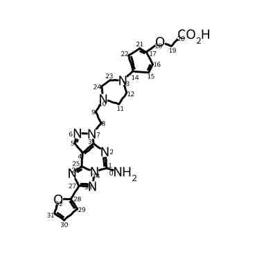 Nc1nc2c(cnn2CCN2CCN(c3ccc(OCC(=O)O)cc3)CC2)c2nc(-c3ccco3)nn12